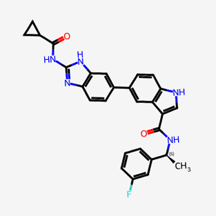 C[C@H](NC(=O)c1c[nH]c2ccc(-c3ccc4nc(NC(=O)C5CC5)[nH]c4c3)cc12)c1cccc(F)c1